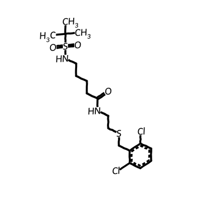 CC(C)(C)S(=O)(=O)NCCCCC(=O)NCCSCc1c(Cl)cccc1Cl